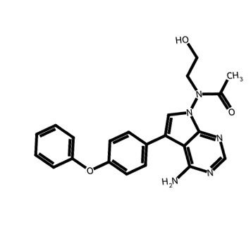 CC(=O)N(CCO)n1cc(-c2ccc(Oc3ccccc3)cc2)c2c(N)ncnc21